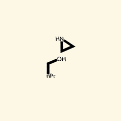 C1CN1.CCCCO